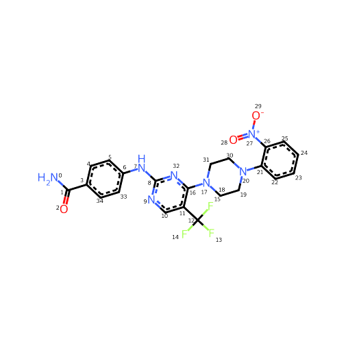 NC(=O)c1ccc(Nc2ncc(C(F)(F)F)c(N3CCN(c4ccccc4[N+](=O)[O-])CC3)n2)cc1